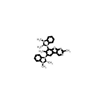 Cc1ncc2c(n1)oc1c(N3c4ccccc4N(C)[C@@H]3C)c(C)c(N3c4ccccc4N(C)[C@H]3C)cc12